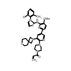 C=CC(=O)N1CCN(c2ncc(-c3ccc(OC)c(NC4SC=CN4c4c(C)cccc4Cl)n3)cc2N2CC3(CCOCC3)C2)CC1